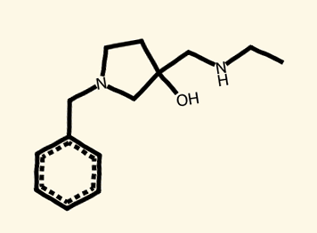 CCNCC1(O)CCN(Cc2ccccc2)C1